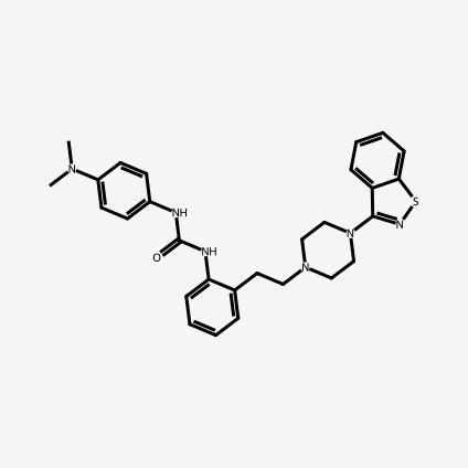 CN(C)c1ccc(NC(=O)Nc2ccccc2CCN2CCN(c3nsc4ccccc34)CC2)cc1